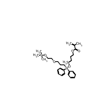 C=C(C)C(=O)OCCC[SiH2]O[Si](CCCOCCO[Si](C)(C)C)(c1ccccc1)c1ccccc1